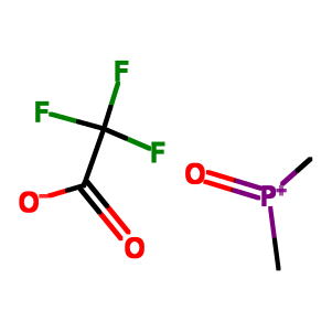 C[P+](C)=O.O=C([O-])C(F)(F)F